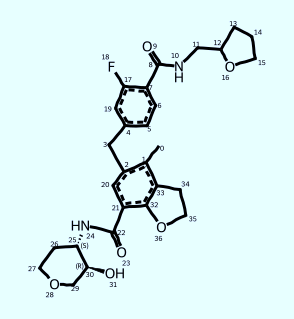 Cc1c(Cc2ccc(C(=O)NCC3CCCO3)c(F)c2)cc(C(=O)N[C@H]2CCOC[C@@H]2O)c2c1CCO2